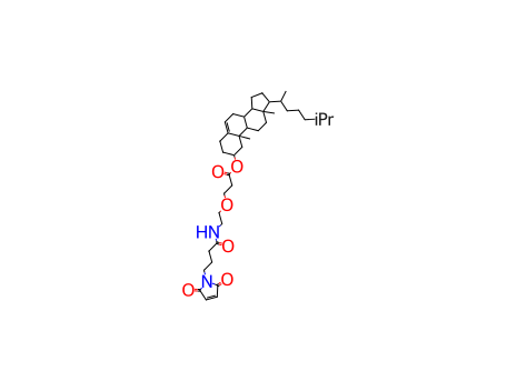 CC(C)CCCC(C)C1CCC2C3CC=C4CCC(OC(=O)CCOCCNC(=O)CCCN5C(=O)C=CC5=O)CC4(C)C3CCC12C